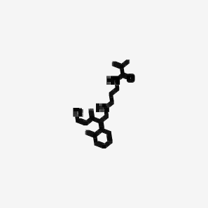 C=C(C)C(=O)NCCCNC/C(C(=C)/C=C\CC)=c1\ccccc1=C